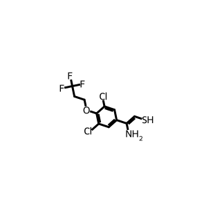 N/C(=C\S)c1cc(Cl)c(OCCC(F)(F)F)c(Cl)c1